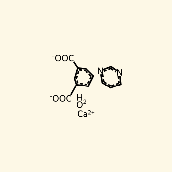 O.O=C([O-])c1cccc(C(=O)[O-])c1.[Ca+2].c1cncnc1